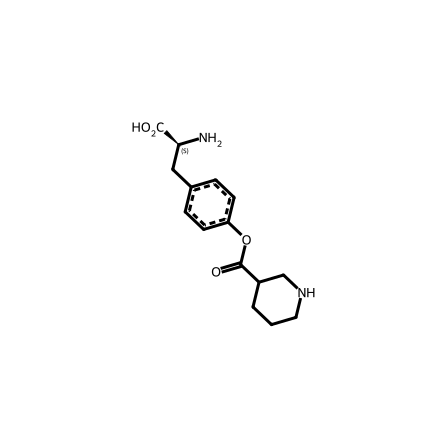 N[C@@H](Cc1ccc(OC(=O)C2CCCNC2)cc1)C(=O)O